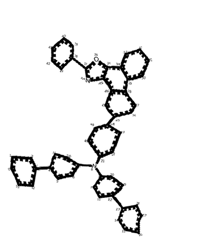 c1ccc(-c2ccc(N(c3ccc(-c4ccccc4)cc3)c3ccc(-c4ccc5c6ccccc6c6oc(-c7ccccc7)nc6c5c4)cc3)cc2)cc1